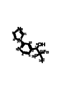 OC(c1ccnc(-n2ccnc2)c1)C(F)(F)F